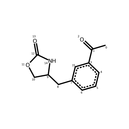 CC(=O)c1cccc(CC2COC(=O)N2)c1